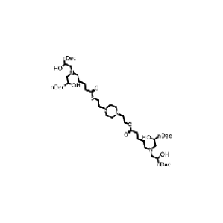 CCCCCCCCCCC(O)CN(CCCCC(=O)OCCN1CCN(CCSC(=O)CCCCN(CC(O)CCCCCCCCCC)CC(O)CCCCCCCCCC)CC1)CC(O)CCCCCCCCCC